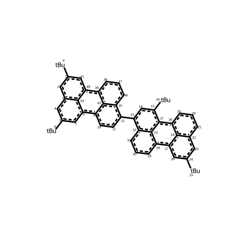 CC(C)(C)c1cc2cc(C(C)(C)C)cc3c4ccc(-c5cc(C(C)(C)C)c6c7cccc8cc(C(C)(C)C)cc(c9cccc5c96)c87)c5cccc(c(c1)c23)c54